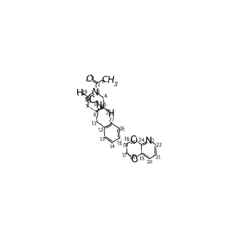 CC(=O)N1C[C@@H]2CC[C@H]1CN2Cc1ccc([C@H]2COc3cccnc3O2)cc1